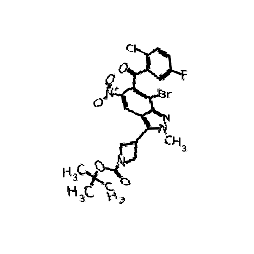 Cn1nc2c(Br)c(C(=O)c3cc(F)ccc3Cl)c([N+](=O)[O-])cc2c1C1CN(C(=O)OC(C)(C)C)C1